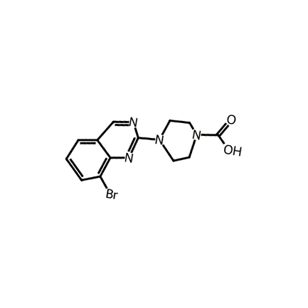 O=C(O)N1CCN(c2ncc3cccc(Br)c3n2)CC1